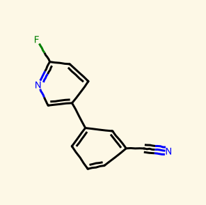 N#Cc1cccc(-c2ccc(F)nc2)c1